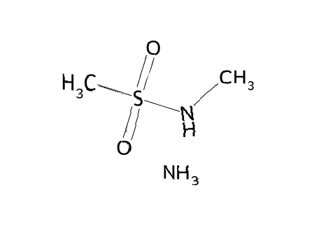 CNS(C)(=O)=O.N